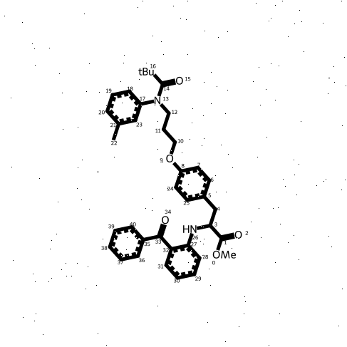 COC(=O)C(Cc1ccc(OCCCN(C(=O)C(C)(C)C)c2cccc(C)c2)cc1)Nc1ccccc1C(=O)c1ccccc1